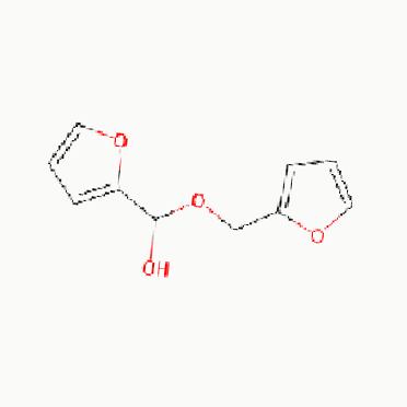 OC(OCc1ccco1)c1ccco1